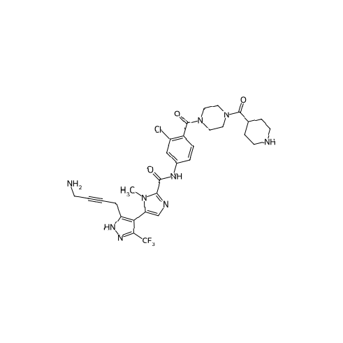 Cn1c(-c2c(C(F)(F)F)n[nH]c2CC#CCN)cnc1C(=O)Nc1ccc(C(=O)N2CCN(C(=O)C3CCNCC3)CC2)c(Cl)c1